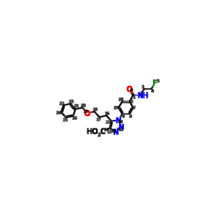 O=C(NCCF)c1ccc(-n2nnc(C(=O)O)c2CCCOCc2ccccc2)cc1